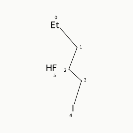 CCCCCI.F